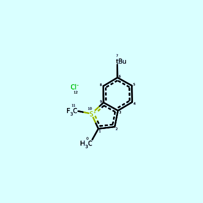 Cc1cc2ccc(C(C)(C)C)cc2[s+]1C(F)(F)F.[Cl-]